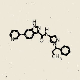 CCC(c1ccccc1)n1cc(NC(=O)c2n[nH]c3cc(-c4cccnc4)ccc23)cn1